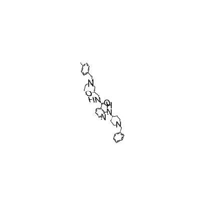 Cc1ccc(CN2CCOC(CNC(=O)c3cccnc3NC3CCN(Cc4ccccc4)CC3)C2)cc1